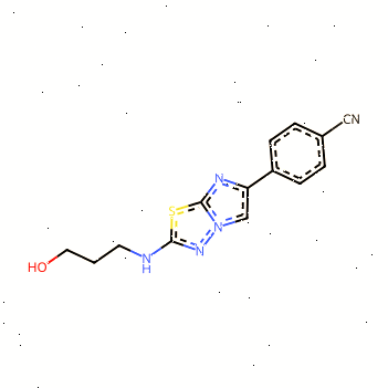 N#Cc1ccc(-c2cn3nc(NCCCO)sc3n2)cc1